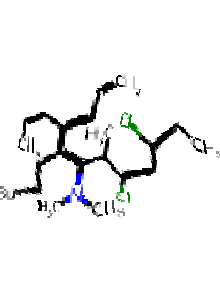 C=C/C=C(\C=C/C)C(/CCC(C)CC)=C(\C(C)/C(Cl)=C\C(Cl)=C/C)N(C)C